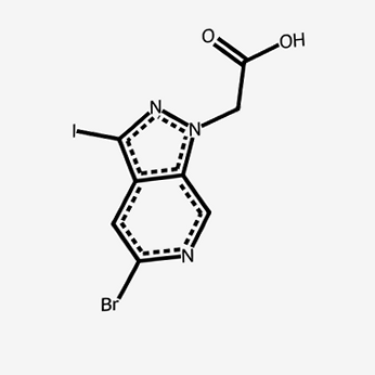 O=C(O)Cn1nc(I)c2cc(Br)ncc21